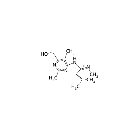 C/N=C(\C=C(C)C)Nc1nc(C)nc(CO)c1C